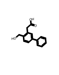 O=C(O)Cc1cc(-c2ccccc2)ccc1CO